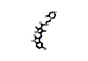 Cc1[nH]c(/C=C2\C(=O)Nc3ccc(Br)cc32)c(C)c1C(=O)NCCN1CCNCC1=O